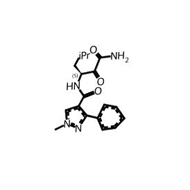 CC(C)C[C@H](NC(=O)c1cn(C)nc1-c1ccccc1)C(=O)C(N)=O